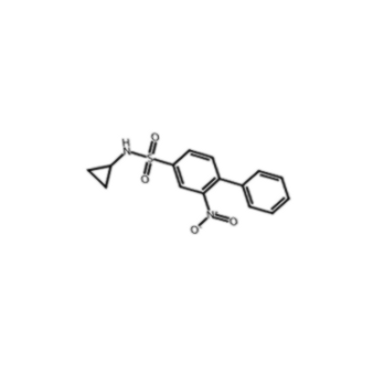 O=[N+]([O-])c1cc(S(=O)(=O)NC2CC2)ccc1-c1ccccc1